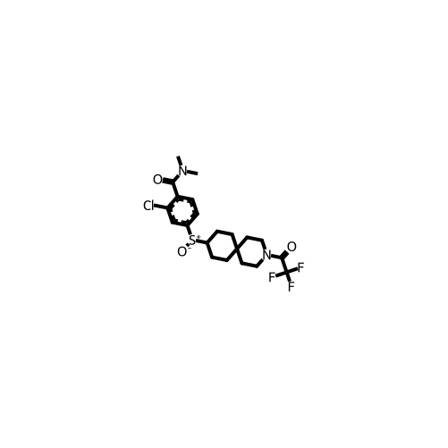 CN(C)C(=O)c1ccc([S+]([O-])C2CCC3(CC2)CCN(C(=O)C(F)(F)F)CC3)cc1Cl